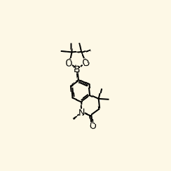 CN1C(=O)CC(C)(C)c2cc(B3OC(C)(C)C(C)(C)O3)ccc21